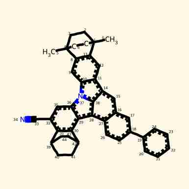 CC12CCC(C)(CC1)c1cc3c(cc12)c1cc2cc(-c4ccccc4)ccc2c2c4c5c(c(C#N)cc4n3c12)C1CCC5CC1